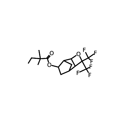 CCC(C)(C)C(=O)OC1CC2CC1C1OC(C(F)(F)F)(C(F)(F)F)C21